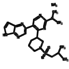 CC(C)CS(=O)(=O)N1CCCC(c2nc(N(C)C)ncc2-c2cnc3[nH]ccc3n2)C1.N